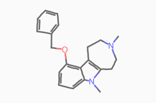 CN1CCc2c(n(C)c3cccc(OCc4ccccc4)c23)CC1